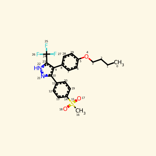 CCCCOc1ccc(-c2c(-c3ccc(S(C)(=O)=O)cc3)n[nH]c2C(F)(F)F)cc1